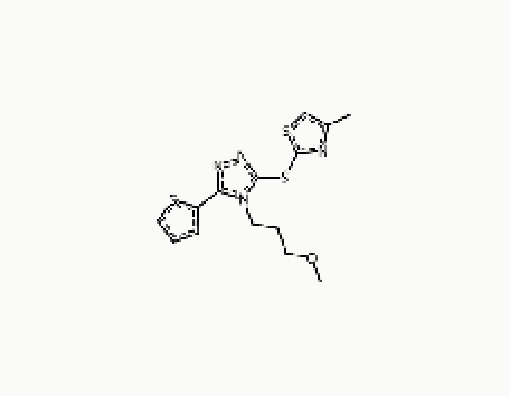 COCCCn1c(Sc2nc(C)cs2)nnc1-c1cccs1